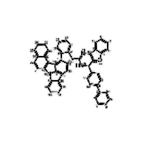 c1ccc(-c2ccc(C3NC(n4c5ccccc5c5c6c7c8ccccc8ccc7n7c8ccccc8c(cc54)c67)=Nc4c3oc3ccccc43)cc2)cc1